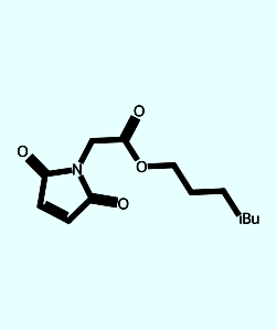 CCC(C)CCCOC(=O)CN1C(=O)C=CC1=O